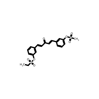 CCS(=O)(=O)Oc1cccc(/C=C/C(=O)/C=C/c2cccc(OS(C)(=O)=O)c2)c1